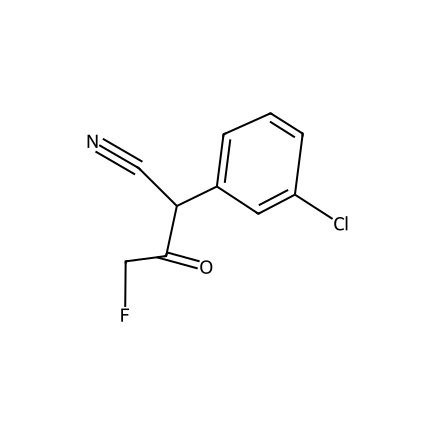 N#CC(C(=O)CF)c1cccc(Cl)c1